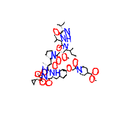 CC[C@H](C)[C@@H]([C@@H](CC(=O)N1CCC[C@H]1[C@H](OC)[C@@H](C)C(=O)N[C@@H](Cc1ccc(OCC(=O)N2CCC(C(=O)OC)CC2)cc1)C(=O)NS(=O)(=O)C1CC1)OC)N(C)C(=O)[C@@H](NC(=O)[C@H](C(C)C)N(C)C)C(C)C